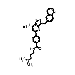 CN(C)CCCNC(=O)c1ccc(-c2ccc3nnn(Cc4ccc5ncccc5c4)c3n2)cc1.Cl.Cl